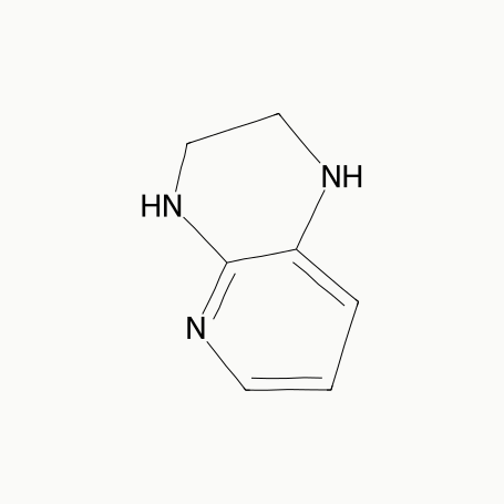 c1cnc2c(c1)NCCN2